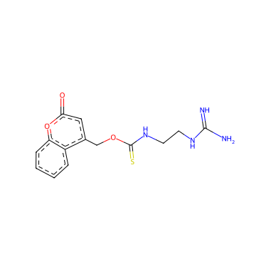 N=C(N)NCCNC(=S)OCc1cc(=O)oc2ccccc12